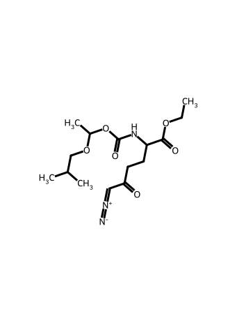 CCOC(=O)C(CCC(=O)C=[N+]=[N-])NC(=O)OC(C)OCC(C)C